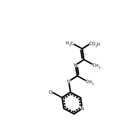 C/C(=N\C(C)=C(/C)C(=O)O)Oc1cnccc1Cl